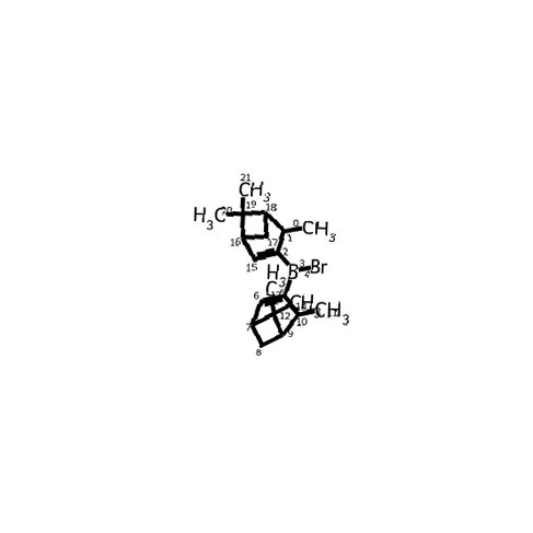 CC1C(B(Br)C2=CC3CC(C2C)C3(C)C)=CC2CC1C2(C)C